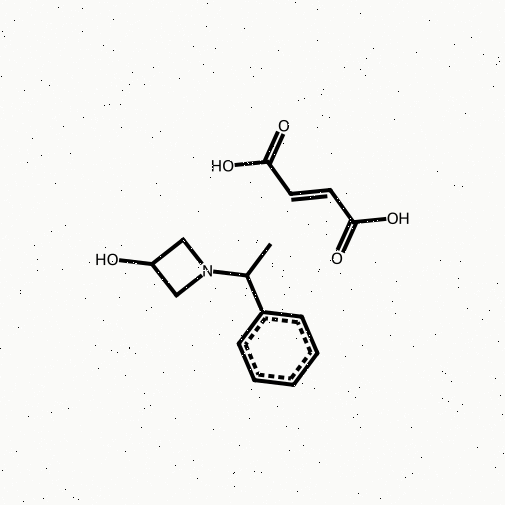 CC(c1ccccc1)N1CC(O)C1.O=C(O)C=CC(=O)O